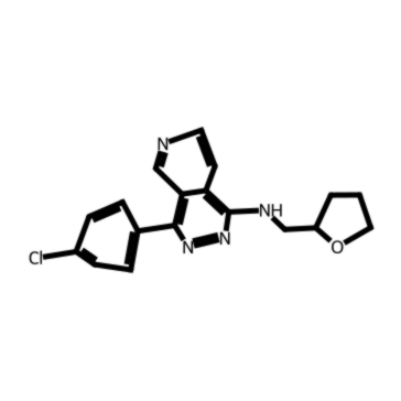 Clc1ccc(-c2nnc(NCC3CCCO3)c3ccncc23)cc1